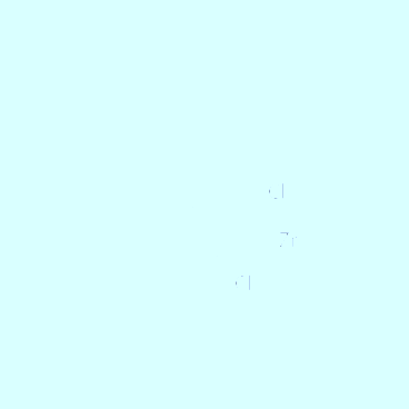 C1=Cc2ccccc2C1.[Cl][Zr][Cl]